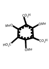 COc1c(C(=O)O)c(OC)c(C(=O)O)c(OC)c1C(=O)O